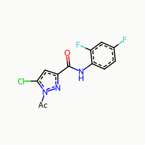 CC(=O)n1nc(C(=O)Nc2ccc(F)cc2F)cc1Cl